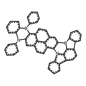 c1ccc(B2c3ccccc3N(c3ccccc3)c3cc4ccc5c6c(cc7ccc(c32)c4c75)B2c3ccccc3-c3ccc4c5ccccc5n-6c4c32)cc1